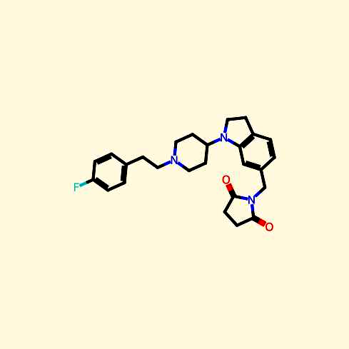 O=C1CCC(=O)N1Cc1ccc2c(c1)N(C1CCN(CCc3ccc(F)cc3)CC1)CC2